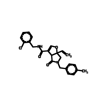 C=CC12CN(Cc3ccc(C)cc3)C(=O)C1C(C(=O)NCc1ccccc1Cl)=CO2